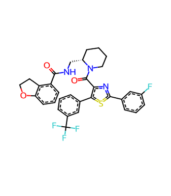 O=C(NC[C@@H]1CCCCN1C(=O)c1nc(-c2cccc(F)c2)sc1-c1cccc(C(F)(F)F)c1)c1cccc2c1CCO2